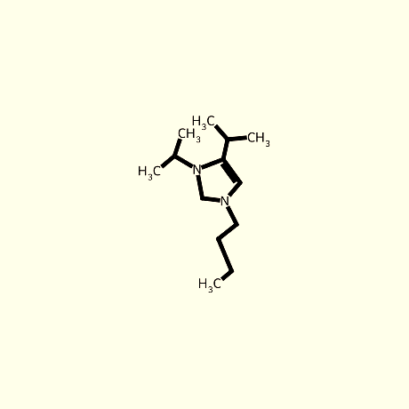 CCCCN1C=C(C(C)C)N(C(C)C)C1